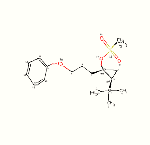 C[Si](C)(C)[C@@H]1C[C@@]1(CCCOc1ccccc1)OS(C)(=O)=O